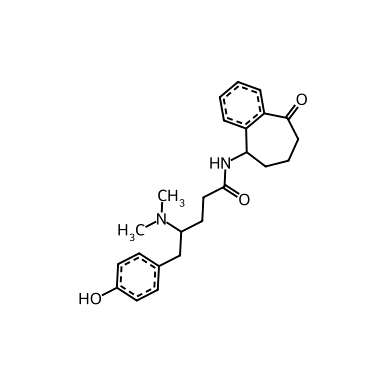 CN(C)C(CCC(=O)NC1CCCC(=O)c2ccccc21)Cc1ccc(O)cc1